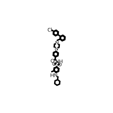 Cc1cc(S(=O)(=O)NC(=O)c2ccc(N3CCN(Cc4ccccc4-c4ccc(Cl)cc4)CC3)cc2)ccc1NCC1CCCCC1